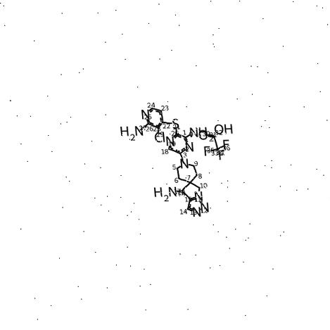 Nc1nc(N2CCC3(CC2)Cn2nncc2[C@H]3N)cnc1Sc1ccnc(N)c1Cl.O=C(O)C(F)(F)F